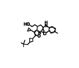 Cc1ccc(NC(=O)CC(CCO)c2noc(C3CC(CC(C)(C)C)C3)c2C2CC2)c(Cl)c1